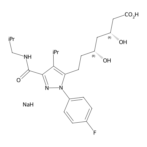 CC(C)CNC(=O)c1nn(-c2ccc(F)cc2)c(CC[C@@H](O)C[C@@H](O)CC(=O)O)c1C(C)C.[NaH]